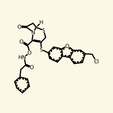 O=C(Cc1ccccc1)NOC(=O)C1=C(Sc2ccc3c(c2)oc2cc(CCl)ccc23)CS[C@H]2CC(=O)N12